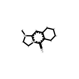 CN1CCn2c1cc1c(c2=O)CCCC1